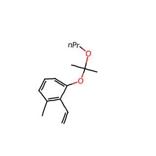 C=Cc1c(C)cccc1OC(C)(C)OCCC